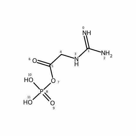 N=C(N)NCC(=O)OP(=O)(O)O